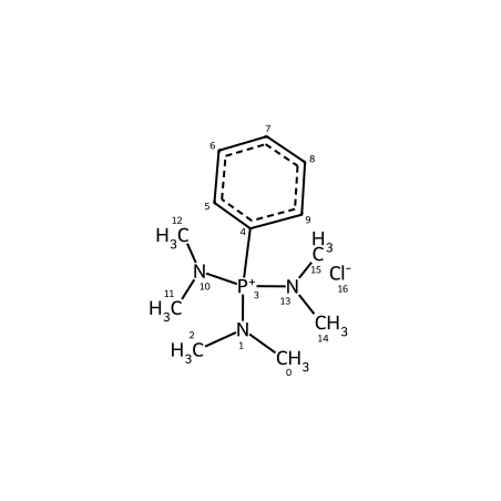 CN(C)[P+](c1ccccc1)(N(C)C)N(C)C.[Cl-]